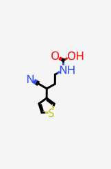 N#CC(CCNC(=O)O)c1ccsc1